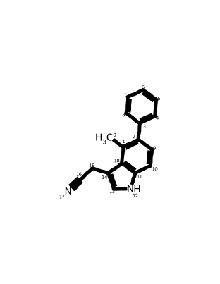 Cc1c(-c2ccccc2)ccc2[nH]cc(CC#N)c12